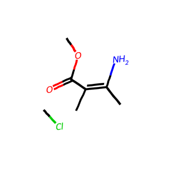 CCl.COC(=O)C(C)=C(C)N